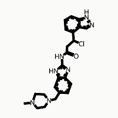 CN1CCN(Cc2ccc3nc(NC(=O)CC(Cl)c4cccc5[nH]ncc45)[nH]c3c2)CC1